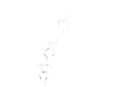 [C]c1ccc2[nH]c(-c3cnc(NCCCC4CCN(C)CC4)nc3C)nc2c1